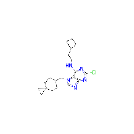 Clc1nc(NCCC2CCC2)c2c(ncn2CC2CCC3(CC2)CC3)n1